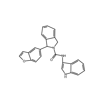 O=C(Nc1c[nH]c2ccccc12)N1Cc2ccccc2C1c1ccc2occc2c1